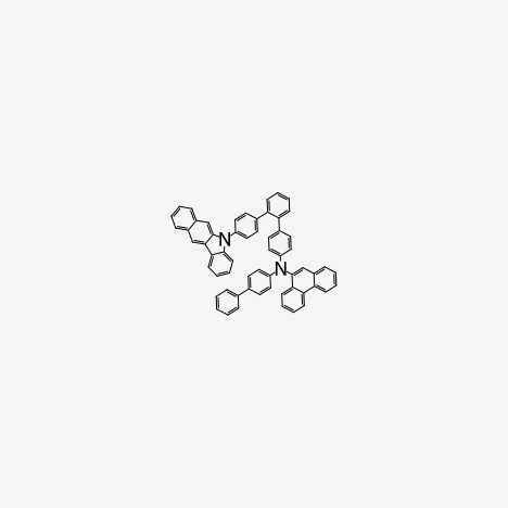 c1ccc(-c2ccc(N(c3ccc(-c4ccccc4-c4ccc(-n5c6ccccc6c6cc7ccccc7cc65)cc4)cc3)c3cc4ccccc4c4ccccc34)cc2)cc1